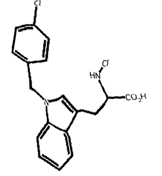 O=C(O)C(Cc1cn(Cc2ccc(Cl)cc2)c2ccccc12)NCl